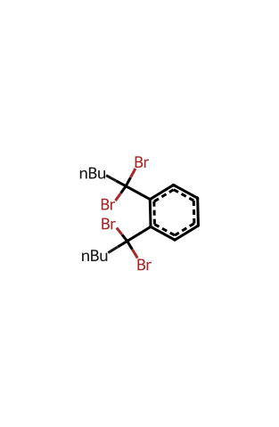 CCCCC(Br)(Br)c1ccccc1C(Br)(Br)CCCC